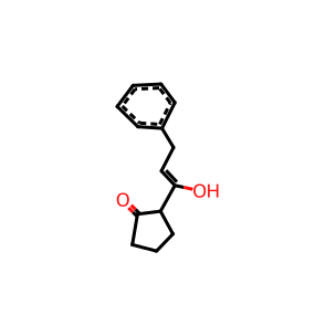 O=C1CCCC1C(O)=CCc1ccccc1